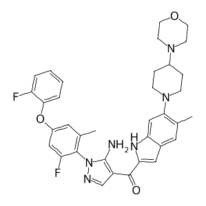 Cc1cc2cc(C(=O)c3cnn(-c4c(C)cc(Oc5ccccc5F)cc4F)c3N)[nH]c2cc1N1CCC(N2CCOCC2)CC1